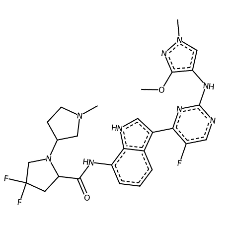 COc1nn(C)cc1Nc1ncc(F)c(-c2c[nH]c3c(NC(=O)C4CC(F)(F)CN4C4CCN(C)C4)cccc23)n1